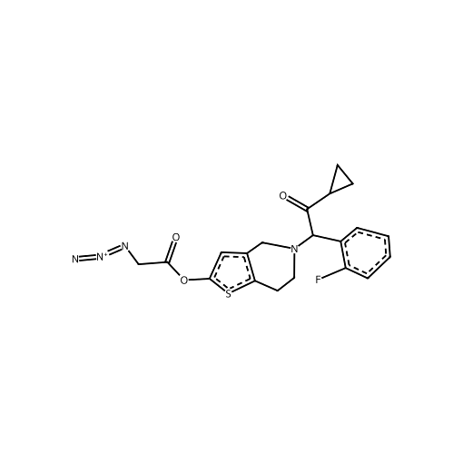 [N-]=[N+]=NCC(=O)Oc1cc2c(s1)CCN(C(C(=O)C1CC1)c1ccccc1F)C2